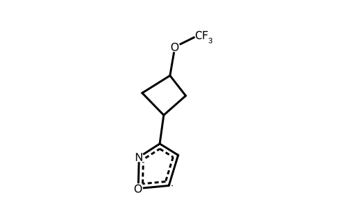 FC(F)(F)OC1CC(c2c[c]on2)C1